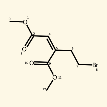 COC(=O)C=C(CCBr)C(=O)OC